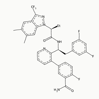 CC[C@@H](C(=O)N[C@@H](Cc1cc(F)cc(F)c1)c1ncccc1-c1ccc(F)c(C(N)=O)c1)n1nc(C(F)(F)F)c2cc(C)c(C)cc21